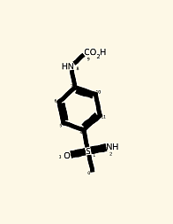 CS(=N)(=O)c1ccc(NC(=O)O)cc1